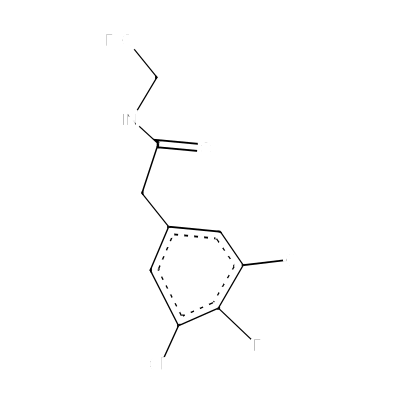 O=C([CH]c1cc(Cl)c(F)c(Cl)c1)NCC(F)(F)F